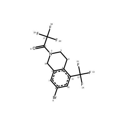 O=C(N1CCc2c(cc(Br)cc2C(F)(F)F)C1)C(F)(F)F